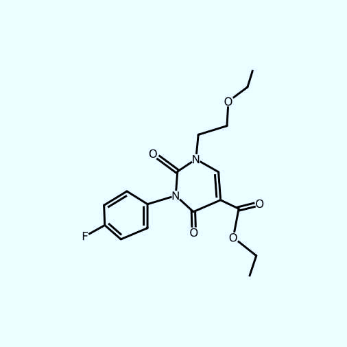 CCOCCn1cc(C(=O)OCC)c(=O)n(-c2ccc(F)cc2)c1=O